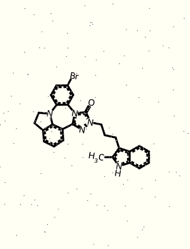 Cc1[nH]c2ccccc2c1CCCn1nc2n(c1=O)-c1cc(Br)ccc1N1CCc3cccc-2c31